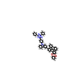 c1ccc(-c2nc(-c3ccccc3)nc(-c3ccc(-n4c5ccccc5c5cc(-c6ccc7c(c6)C6(c8ccccc8-c8ccccc86)c6ccc8c(c6-7)Oc6ccccc6O8)ccc54)cc3)n2)cc1